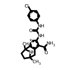 CC12CCC(C)(N1)c1sc(NC(=O)Nc3ccc(Cl)cc3)c(C(N)=O)c1C2